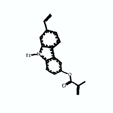 C=Cc1ccc2c3cc(OC(=O)C(=C)C)ccc3n(CC)c2c1